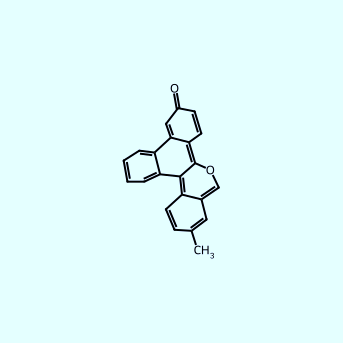 Cc1ccc2c(coc3c4ccc(=O)cc4c4ccccc4c23)c1